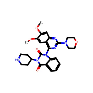 CCOc1cc2nc(N3CCOCC3)nc(-n3c(=O)n(C4CCNCC4)c(=O)c4ccccc43)c2cc1OCC